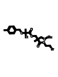 CCC(C)OCC(C)(COC(=O)C(C)(CC)OCc1ccc(C)cc1)C(=O)OCCBr